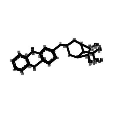 CCC(C(=O)O)C1C2CN(Cc3ccc4c(c3)Nc3nccnc3S4)CC1[C@H](C)[C@H]2C